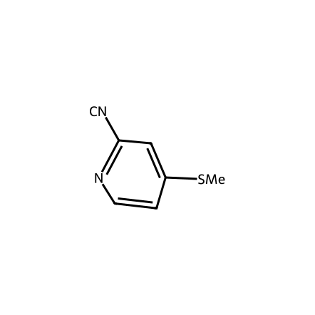 [C-]#[N+]c1cc(SC)ccn1